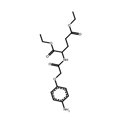 CCOC(=O)CCC(NC(=O)COc1ccc(N)cc1)C(=O)OCC